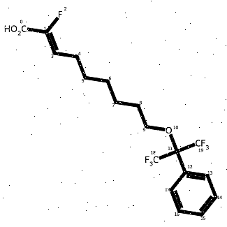 O=C(O)C(F)=CCCCCCCOC(c1ccccc1)(C(F)(F)F)C(F)(F)F